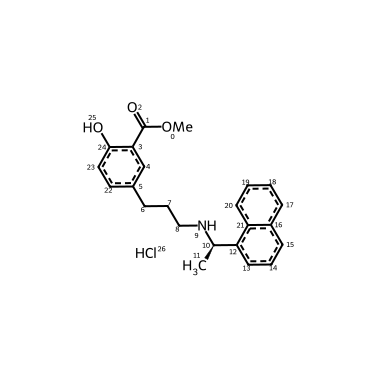 COC(=O)c1cc(CCCN[C@H](C)c2cccc3ccccc23)ccc1O.Cl